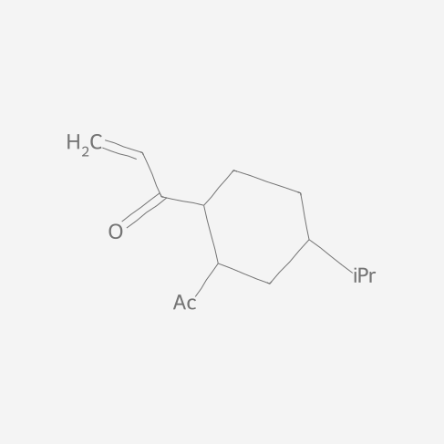 C=CC(=O)C1CCC(C(C)C)CC1C(C)=O